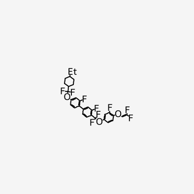 CCC1CCC(C(F)(F)Oc2ccc(-c3ccc(C(F)(F)Oc4ccc(OC=C(F)F)c(F)c4)c(F)c3)c(F)c2)CC1